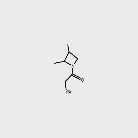 CC1CN(C(=O)CC(C)(C)C)C1C